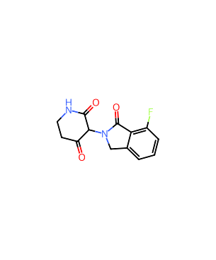 O=C1CCNC(=O)C1N1Cc2cccc(F)c2C1=O